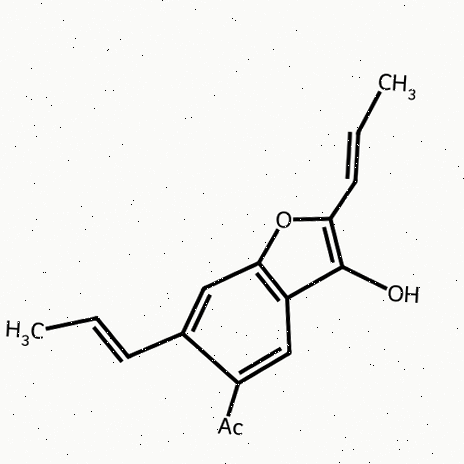 C/C=C/c1cc2oc(/C=C/C)c(O)c2cc1C(C)=O